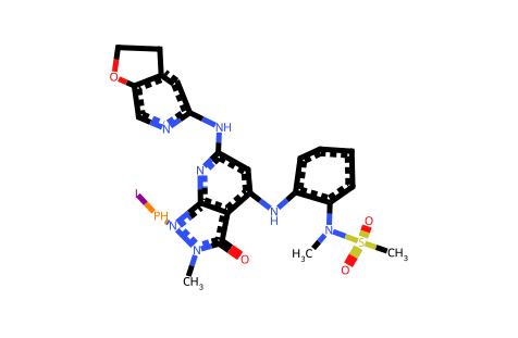 CN(c1ccccc1Nc1cc(Nc2cc3c(cn2)OCC3)nc2c1c(=O)n(C)n2PI)S(C)(=O)=O